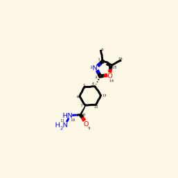 Cc1nc([C@H]2CC[C@H](C(=O)NN)CC2)oc1C